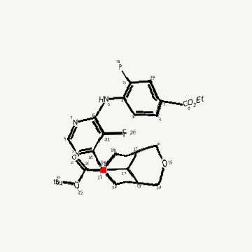 CCOC(=O)c1ccc(Nc2ncnc(OC3C4COCC3CN(C(=O)OC(C)(C)C)C4)c2F)c(F)c1